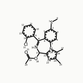 CSc1ccc2c(c1)C(c1ccccc1Cl)=NC(OC(C)=O)c1nc(C)c(C)n1-2